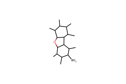 BC1C(C)C(C)C2OC3C(C)C(C)C(C)C(C)C3C2C1C